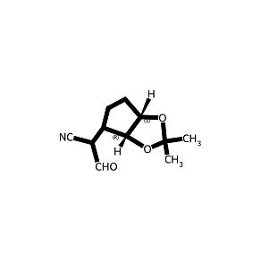 CC1(C)O[C@H]2CCC(C(C#N)C=O)[C@H]2O1